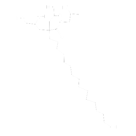 CCCCCCCCCCCCCCCCC(CC(C)C)(CC(O)CO)C(=O)OCC(C)C